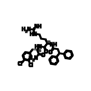 N=C(N)NCCC[C@@H](NC(=O)CC(c1ccccc1)c1ccccc1)C(=O)N[C@@H](Cc1ccc(Cl)c(Cl)c1)C(N)=O